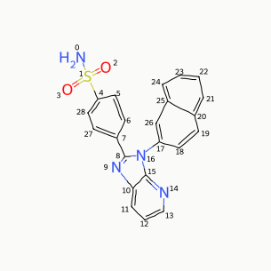 NS(=O)(=O)c1ccc(-c2nc3cccnc3n2-c2ccc3ccccc3c2)cc1